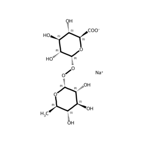 C[C@H]1O[C@H](OO[C@H]2O[C@H](C(=O)[O-])[C@@H](O)[C@H](O)[C@H]2O)[C@H](O)[C@@H](O)[C@@H]1O.[Na+]